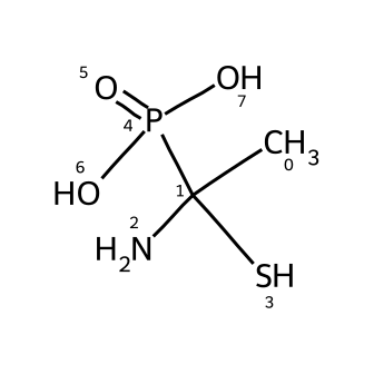 CC(N)(S)P(=O)(O)O